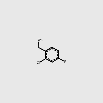 C[C](C)Cc1ccc(F)cc1Cl